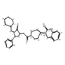 O=C(CC1SC(c2ccccc2)N(CC2CCCCC2)C1=O)N1CCC(N2Cc3ccccc3NC2=O)CC1